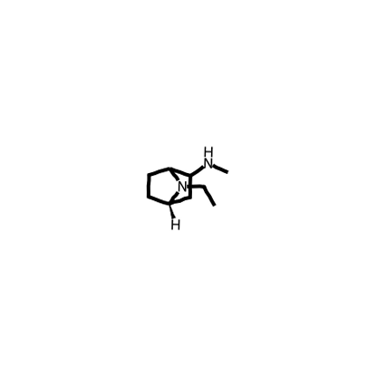 CCN1C2CC[C@H]1CC2NC